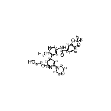 Cc1ncc(NC(=O)c2ccc3c(c2)OC(F)(F)O3)cc1-c1cc(OCCO)nc(N2CCOCC2)c1